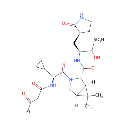 CCC(=O)CC(=O)N[C@H](C(=O)N1C[C@H]2[C@@H]([C@H]1C(=O)N[C@@H](C[C@@H]1CCNC1=O)C(O)S(=O)(=O)O)C2(C)C)C1CC1